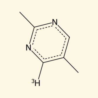 [3H]c1nc(C)ncc1C